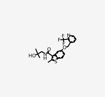 Cc1sc2ccc(OCc3cccnc3C(F)(F)F)cc2c1C(=O)NCC(C)(C)O